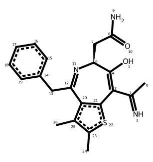 CC(=N)C1=C(O)[C@H](CC(N)=O)N=C(Cc2ccccc2)c2c1sc(C)c2C